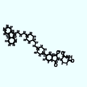 O=C1CCC(N2C(=O)c3ccc(N4CCN(CCC5CCN(CCCn6c7ccncc7c7cccnc76)CC5)CC4)cc3C2=O)C(=O)N1